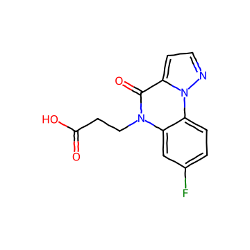 O=C(O)CCn1c(=O)c2ccnn2c2ccc(F)cc21